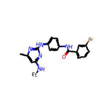 CCNc1cc(C)nc(Nc2ccc(NC(=O)c3cccc(Br)c3)cc2)n1